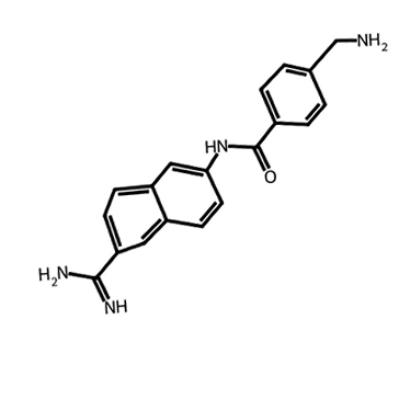 N=C(N)c1ccc2cc(NC(=O)c3ccc(CN)cc3)ccc2c1